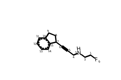 FCCNCC#CC1CCc2ccccc21